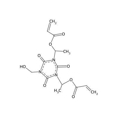 C=CC(=O)OC(C)n1c(=O)n(CO)c(=O)n(C(C)OC(=O)C=C)c1=O